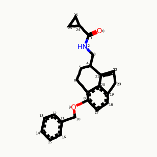 O=C(NCC1CCc2c(OCc3ccccc3)ccc3c2C1=CC3)C1CC1